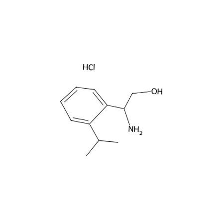 CC(C)c1ccccc1C(N)CO.Cl